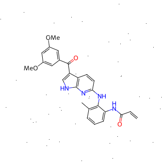 C=CC(=O)Nc1cccc(C)c1Nc1ccc2c(C(=O)c3cc(OC)cc(OC)c3)c[nH]c2n1